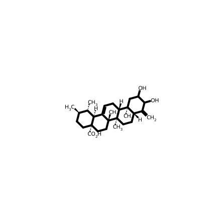 C=C1C(O)C(O)C[C@]2(C)[C@H]3CC=C4[C@@H]5[C@@H](C)[C@H](C)CC[C@]5(C(=O)O)CC[C@@]4(C)[C@]3(C)CC[C@@H]12